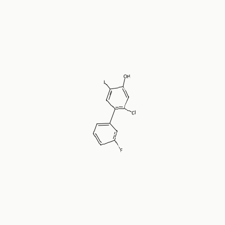 Oc1cc(Cl)c(-c2cccc(F)c2)cc1I